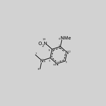 CNc1ncnc(N(C)C)c1[N+](=O)[O-]